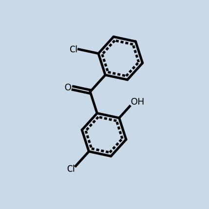 O=C(c1cc(Cl)ccc1O)c1ccccc1Cl